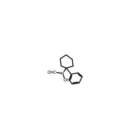 O=CN(O)C1(c2ccccc2)CCCCC1